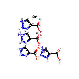 O=C([O-])c1c[nH]nn1.O=C([O-])c1c[nH]nn1.O=C([O-])c1c[nH]nn1.O=C([O-])c1c[nH]nn1.[Sn+4]